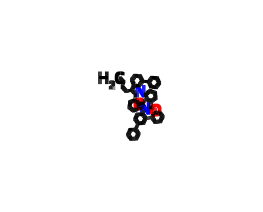 C=C/C=C\c1c(-c2ccccc2)n(-c2cccc3c2C(=O)N(c2ccc(-c4ccccc4)cc2-c2ccccc2)C3=O)c2c(-c3ccccc3)cccc12